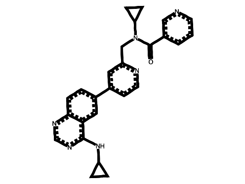 O=C(c1cccnc1)N(Cc1cc(-c2ccc3ncnc(NC4CC4)c3c2)ccn1)C1CC1